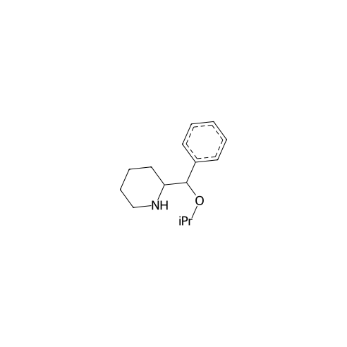 CC(C)OC(c1ccccc1)C1CCCCN1